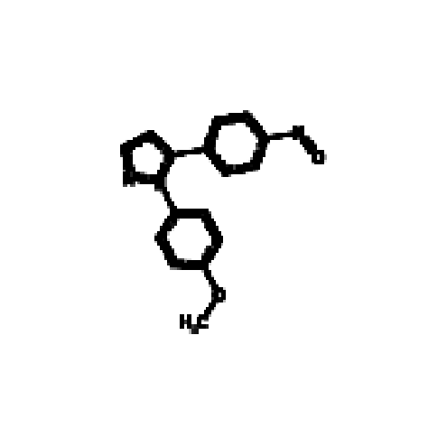 COc1ccc(-n2nccc2-c2ccc(N=O)cc2)cc1